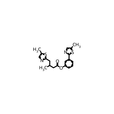 Cc1cnc(CC(C)CC(=O)Oc2cccc(-c3ncc(C)s3)c2)s1